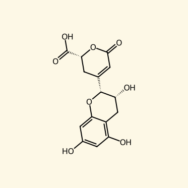 O=C1C=C([C@H]2Oc3cc(O)cc(O)c3C[C@H]2O)C[C@H](C(=O)O)O1